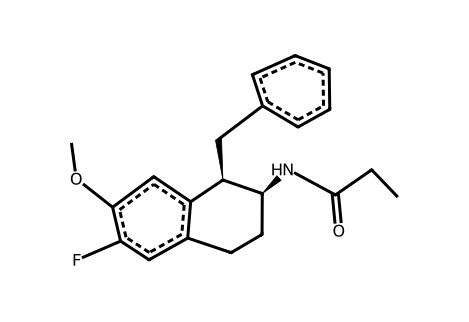 CCC(=O)N[C@H]1CCc2cc(F)c(OC)cc2[C@H]1Cc1ccccc1